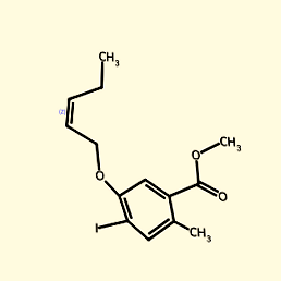 CC/C=C\COc1cc(C(=O)OC)c(C)cc1I